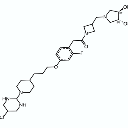 O=C(Cc1ccc(OCCCC2CCN(C3NCC(Cl)CN3)CC2)cc1F)N1CC(CN2C[C@@H](O)[C@H](O)C2)C1